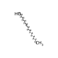 CCCCCCCCC=CCCCCCCCCCO